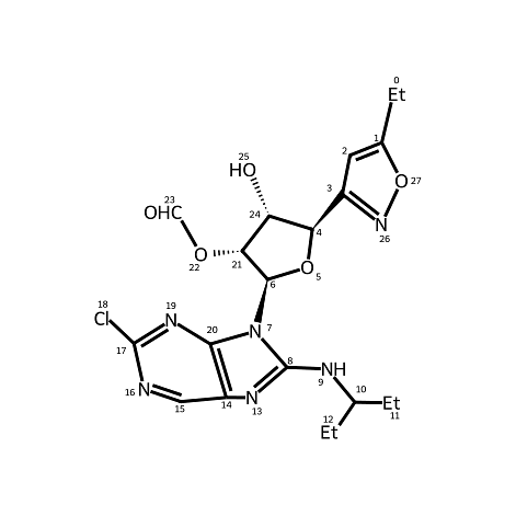 CCc1cc([C@H]2O[C@@H](n3c(NC(CC)CC)nc4cnc(Cl)nc43)[C@H](OC=O)[C@@H]2O)no1